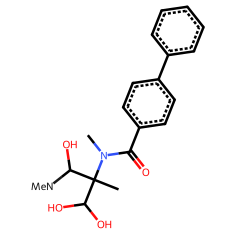 CNC(O)C(C)(C(O)O)N(C)C(=O)c1ccc(-c2ccccc2)cc1